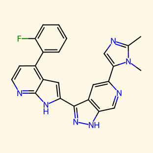 Cc1ncc(-c2cc3c(-c4cc5c(-c6ccccc6F)ccnc5[nH]4)n[nH]c3cn2)n1C